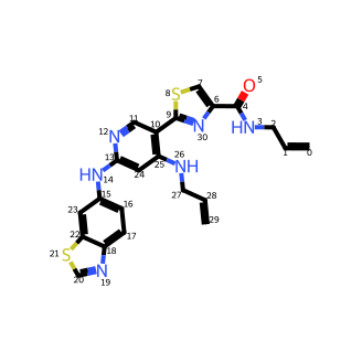 C=CCNC(=O)c1csc(-c2cnc(Nc3ccc4ncsc4c3)cc2NCC=C)n1